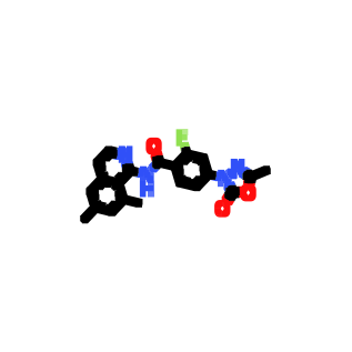 Cc1cc(C)c2c(NC(=O)c3ccc(-n4nc(C)oc4=O)cc3F)nccc2c1